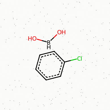 Clc1ccccc1.OBO